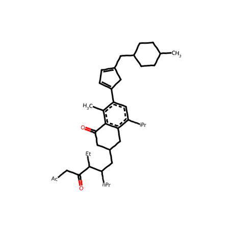 CCCC(CC1CC(=O)c2c(C)c(C3=CC=C(CC4CCC(C)CC4)C3)cc(C(C)C)c2C1)C(CC)C(=O)CC(C)=O